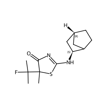 CC(C)(F)C1(C)SC(N[C@H]2C[C@@H]3CCC2C3)=NC1=O